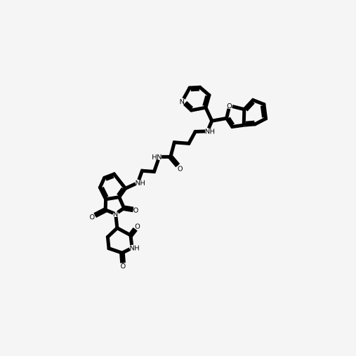 O=C(CCCNC(c1cccnc1)c1cc2ccccc2o1)NCCNc1cccc2c1C(=O)N(C1CCC(=O)NC1=O)C2=O